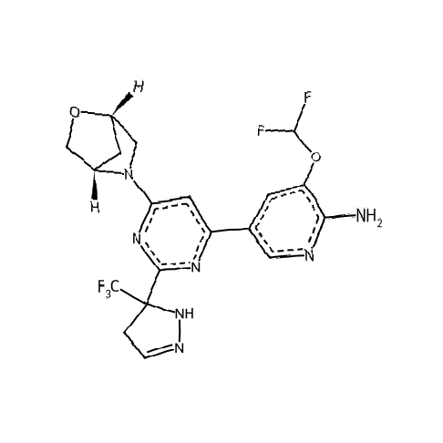 Nc1ncc(-c2cc(N3C[C@@H]4C[C@H]3CO4)nc(C3(C(F)(F)F)CC=NN3)n2)cc1OC(F)F